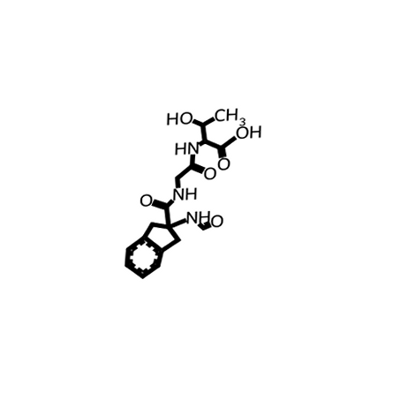 CC(O)C(NC(=O)CNC(=O)C1(NC=O)Cc2ccccc2C1)C(=O)O